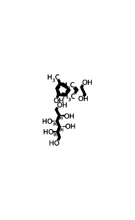 C=CC.Cc1cccc(O)c1.OCCO.OC[C@@H](O)[C@@H](O)[C@H](O)[C@H](O)CO